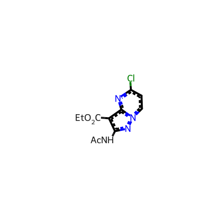 CCOC(=O)c1c(NC(C)=O)nn2ccc(Cl)nc12